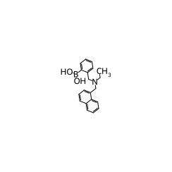 CCN(Cc1ccccc1B(O)O)Cc1cccc2ccccc12